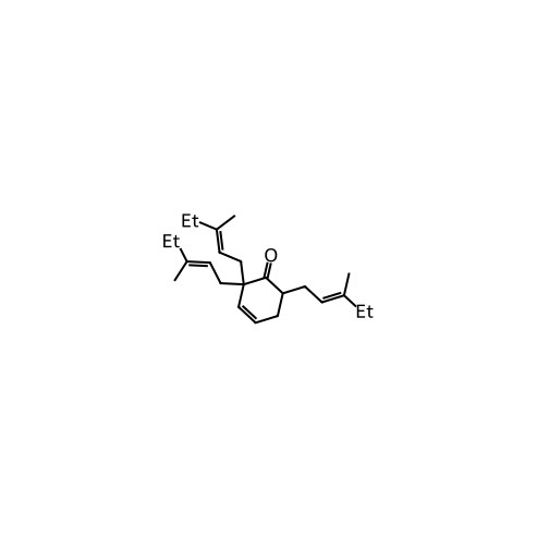 CCC(C)=CCC1CC=CC(CC=C(C)CC)(CC=C(C)CC)C1=O